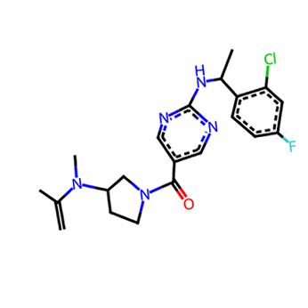 C=C(C)N(C)C1CCN(C(=O)c2cnc(NC(C)c3ccc(F)cc3Cl)nc2)C1